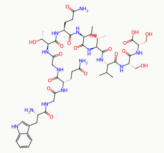 CC(C)[C@H](NC(=O)[C@H](CCC(N)=O)NC(=O)[C@@H](NC(=O)CNC(=O)[C@H](CCC(N)=O)NC(=O)CNC(=O)[C@@H](N)Cc1c[nH]c2ccccc12)[C@@H](C)O)C(=O)N[C@H](C(=O)N[C@H](C(=O)N[C@@H](CO)C(=O)N[C@@H](CO)C(=O)O)C(C)C)[C@@H](C)O